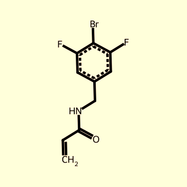 C=CC(=O)NCc1cc(F)c(Br)c(F)c1